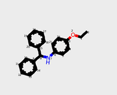 CCOc1ccc(NC(c2ccccc2)c2ccccc2)cc1